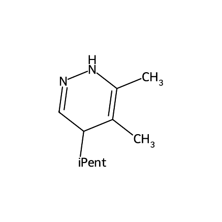 CCCC(C)C1C=NNC(C)=C1C